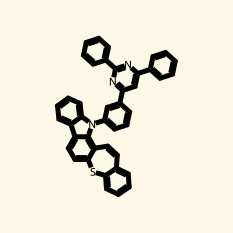 C1=Cc2c(ccc3c4ccccc4n(-c4cccc(-c5cc(-c6ccccc6)nc(-c6ccccc6)n5)c4)c23)Sc2ccccc21